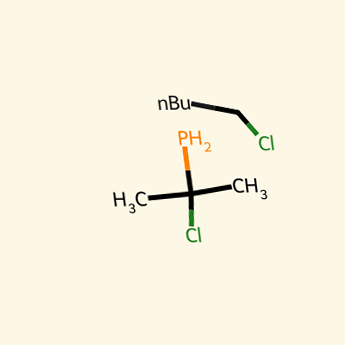 CC(C)(P)Cl.CCCCCCl